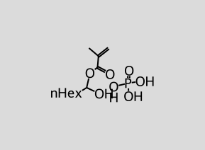 C=C(C)C(=O)OC(O)CCCCCC.O=P(O)(O)O